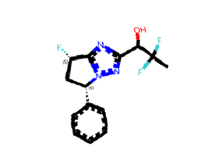 CC(F)(F)C(O)c1nc2n(n1)[C@H](c1ccccc1)C[C@@H]2F